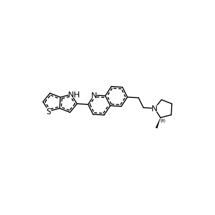 C[C@@H]1CCCN1CCc1ccc2nc(-c3cc4sccc4[nH]3)ccc2c1